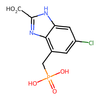 O=C(O)c1nc2c(CP(=O)(O)O)cc(Cl)cc2[nH]1